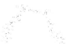 CN(CCCOC(=O)CCOC1CCC2C(CCC3C4CCCC4CCC23)C1)CCOCCOCCN(C)CCCOC(=O)CCOC1CCC2C(CCC3C4CCCC4CCC23)C1